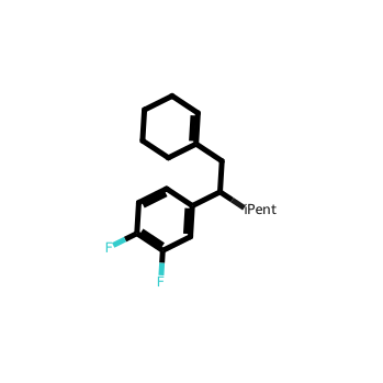 CCCC(C)C(CC1=CCCCC1)c1ccc(F)c(F)c1